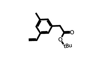 C=Cc1cc(C)cc(CC(=O)OC(C)(C)C)c1